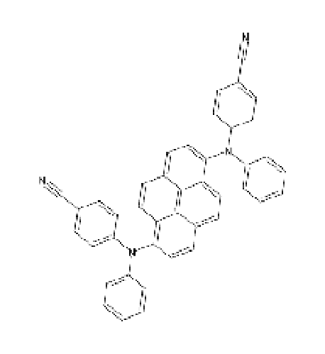 N#CC1=CCC(N(c2ccccc2)c2ccc3ccc4c(N(c5ccccc5)c5ccc(C#N)cc5)ccc5ccc2c3c54)C=C1